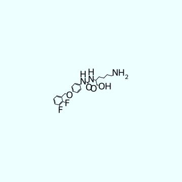 NCCCCC(NC(=O)Nc1ccc(OCc2cccc(F)c2F)cc1)C(=O)O